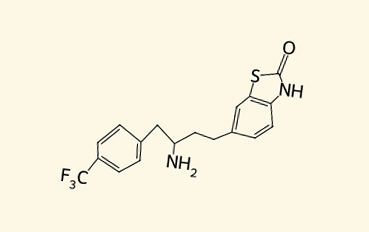 NC(CCc1ccc2[nH]c(=O)sc2c1)Cc1ccc(C(F)(F)F)cc1